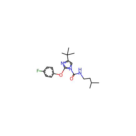 CC(C)CCNC(=O)n1cc(C(C)(C)C)nc1Oc1ccc(F)cc1